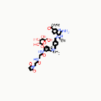 CCCCc1nc2c(N)nc3cc(C(=O)OC)ccc3c2n1Cc1ccc(C[N+](C)(C)Cc2ccc(O[C@H]3O[C@H](CO)[C@@H](O)[C@H](O)[C@@H]3O)c(NC(=O)CCNC(=O)CCN3C(=O)C=CC3=O)c2)cc1